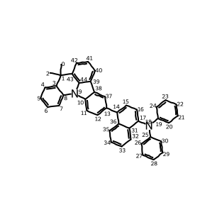 CC1(C)c2ccccc2-n2c3ccc(-c4ccc(N(c5ccccc5)c5ccccc5)c5ccccc45)cc3c3cccc1c32